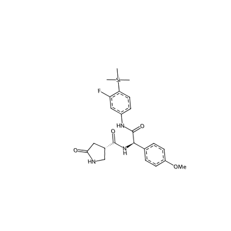 COc1ccc([C@@H](NC(=O)[C@@H]2CNC(=O)C2)C(=O)Nc2ccc([Si](C)(C)C)c(F)c2)cc1